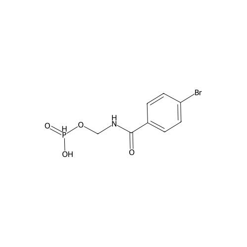 O=C(NCO[PH](=O)O)c1ccc(Br)cc1